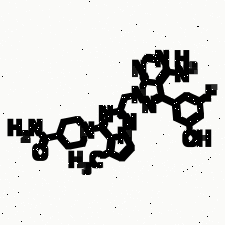 Cc1ccn2nc(Cn3nc(-c4cc(O)cc(F)c4)c4c(N)ncnc43)nc(N3CCC(C(N)=O)CC3)c12